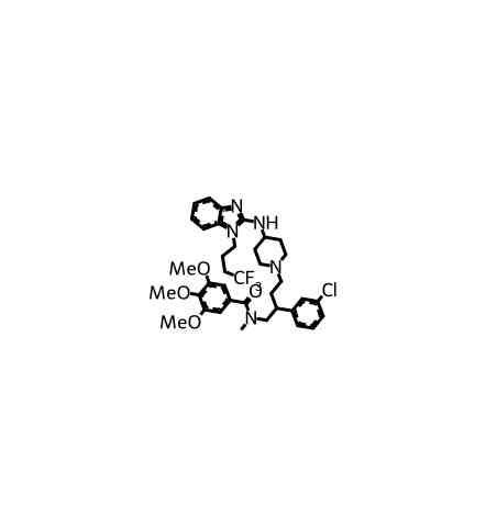 COc1cc(C(=O)N(C)CC(CCN2CCC(Nc3nc4ccccc4n3CCCC(F)(F)F)CC2)c2cccc(Cl)c2)cc(OC)c1OC